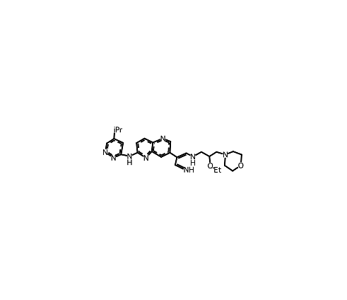 CCOC(CN/C=C(\C=N)c1cnc2ccc(Nc3cc(C(C)C)cnn3)nc2c1)CN1CCOCC1